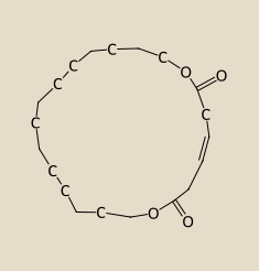 O=C1CC=CCC(=O)OCCCCCCCCCCCCCCO1